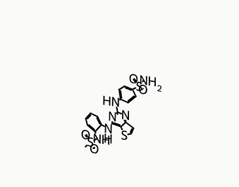 CS(=O)(=O)Nc1ccccc1Nc1nc(Nc2ccc(S(N)(=O)=O)cc2)nc2ccsc12